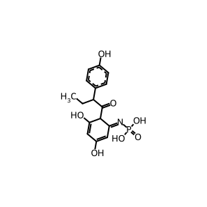 CCC(C(=O)C1C(O)=CC(O)=C/C1=N\P(=O)(O)O)c1ccc(O)cc1